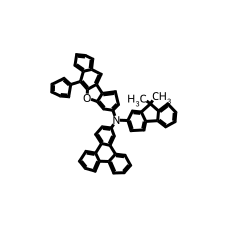 CC1(C)c2ccccc2-c2ccc(N(c3ccc4c(c3)oc3c(-c5ccccc5)c5ccccc5cc34)c3ccc4c5ccccc5c5ccccc5c4c3)cc21